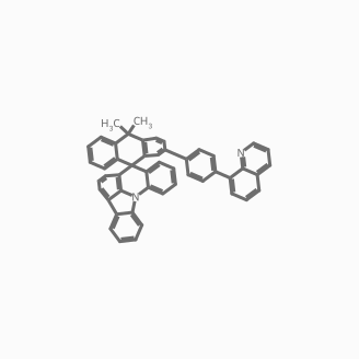 CC1(C)c2ccccc2C2(c3ccccc3-n3c4ccccc4c4cccc2c43)c2cc(-c3ccc(-c4cccc5cccnc45)cc3)ccc21